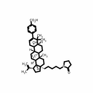 C=C(C)[C@@H]1CC[C@]2(CCCCCN3CCCC3=O)CC[C@]3(C)[C@H](CC[C@@H]4[C@@]5(C)CC=C(c6ccc(C(=O)O)cc6)C(C)(C)[C@@H]5CC[C@]43C)[C@@H]12